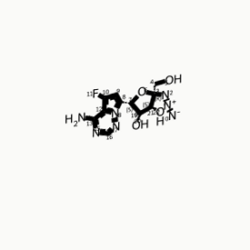 [N-]=[N+]=N[C@]1(CO)O[C@@H](c2cc(F)c3c(N)ncnn23)[C@H](O)[C@@H]1O